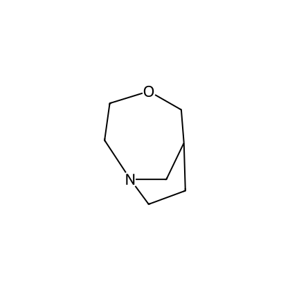 C1CN2CCC(CO1)C2